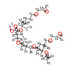 CCC(C)(O[Si](OC)(OC)C(C)(CC)C(C)(C)O[Si](C)(C)C(C)(C)C(C)O[Si](C)(CCCOCC1CO1)C(C)(CC)O[Si](C)(C)C)[Si](C)(C)CCCOCC1CO1